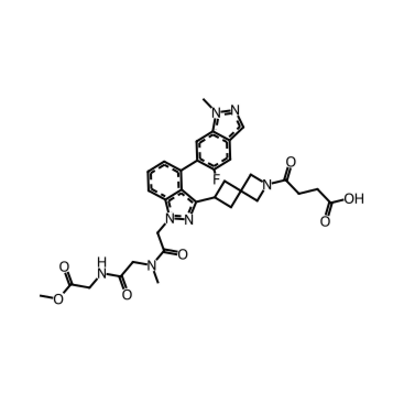 COC(=O)CNC(=O)CN(C)C(=O)Cn1nc(C2CC3(C2)CN(C(=O)CCC(=O)O)C3)c2c(-c3cc4c(cnn4C)cc3F)cccc21